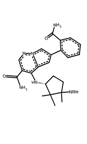 CNC1(C)CC[C@@H](Nc2c(C(N)=O)cnn3cc(-c4ccccc4C(N)=O)cc23)C1(C)C